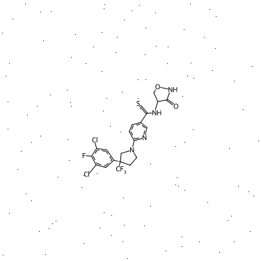 O=C1NOCC1NC(=S)c1ccc(N2CCC(c3cc(Cl)c(F)c(Cl)c3)(C(F)(F)F)C2)nc1